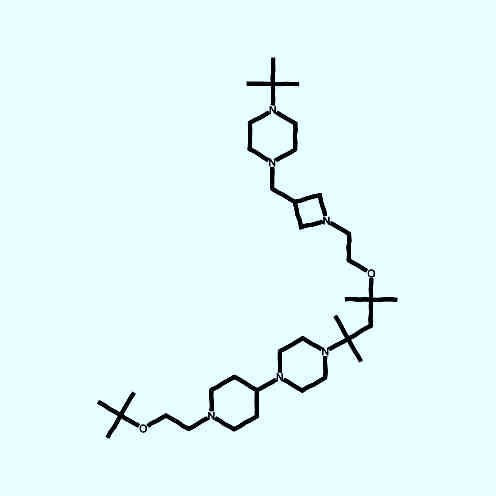 CC(C)(C)OCCN1CCC(N2CCN(C(C)(C)CC(C)(C)OCCN3CC(CN4CCN(C(C)(C)C)CC4)C3)CC2)CC1